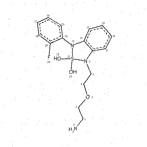 NCCOCCN1c2ccccc2N(c2ccccc2F)S1(O)O